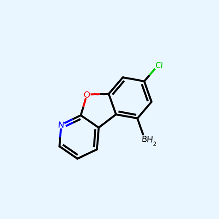 Bc1cc(Cl)cc2oc3ncccc3c12